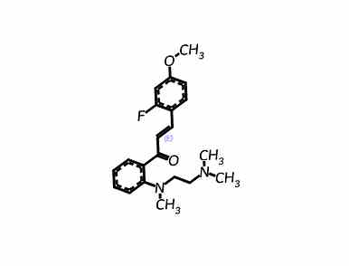 COc1ccc(/C=C/C(=O)c2ccccc2N(C)CCN(C)C)c(F)c1